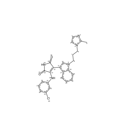 Cc1nccn1CCCn1cc(C2=C(Nc3cccc(Cl)c3)C(=O)NC2=O)c2ccccc21